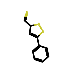 S=CC1C=C(c2ccccc2)SS1